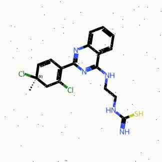 C[C@]1(Cl)C=CC(c2nc(NCCNC(=N)S)c3ccccc3n2)=C(Cl)C1